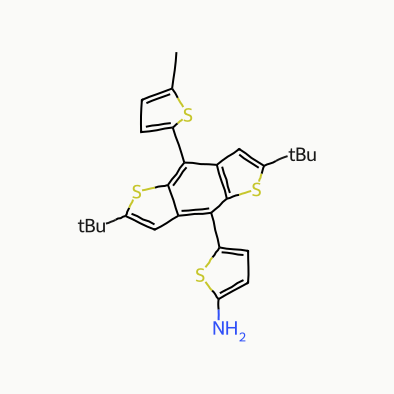 Cc1ccc(-c2c3cc(C(C)(C)C)sc3c(-c3ccc(N)s3)c3cc(C(C)(C)C)sc23)s1